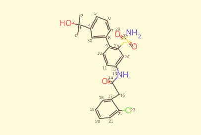 CC(C)(O)c1cccc(-c2ccc(NC(=O)Cc3ccccc3Cl)cc2S(N)(=O)=O)c1